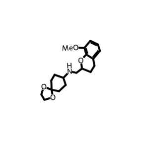 COc1cccc2c1OC(CNC1CCC3(CC1)OCCO3)CC2